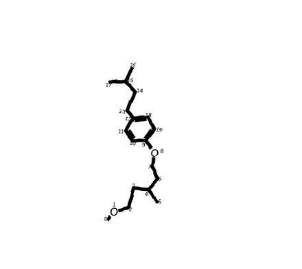 COCCC(C)CCOc1ccc(CCC(C)C)cc1